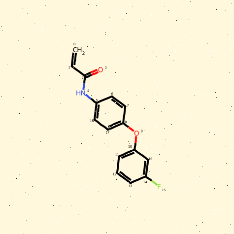 C=CC(=O)Nc1ccc(Oc2cccc(F)c2)cc1